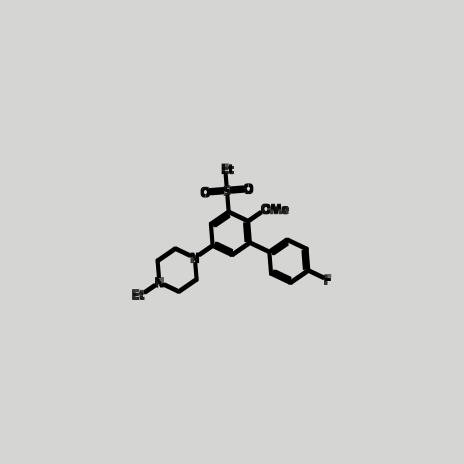 CCN1CCN(c2cc(-c3ccc(F)cc3)c(OC)c(S(=O)(=O)CC)c2)CC1